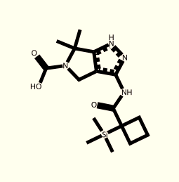 CC1(C)c2[nH]nc(NC(=O)C3([Si](C)(C)C)CCC3)c2CN1C(=O)O